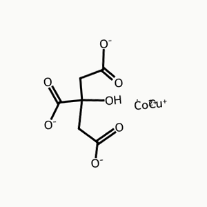 O=C([O-])CC(O)(CC(=O)[O-])C(=O)[O-].[Co+2].[Cu+]